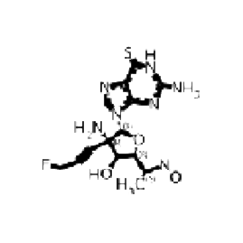 C[C@H](N=O)[C@H]1O[C@@H](n2cnc3c(=S)[nH]c(N)nc32)[C@@](N)(C#CCF)C1O